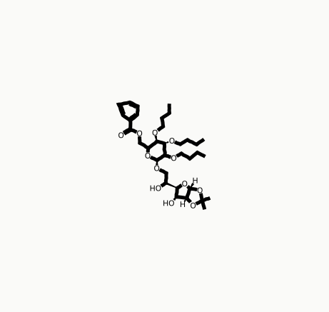 CCCCOC1[C@@H](OCC(O)[C@H]2O[C@@H]3OC(C)(C)O[C@H]3[C@H]2O)OC(COC(=O)c2ccccc2)[C@@H](OCCCC)[C@@H]1OCCCC